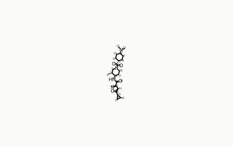 C[C@H]1CN(S(=O)(=O)[C@H]2CC[C@H](N(C)C)CC2)CC[C@H]1NC(=O)c1cc(C2CC2)on1